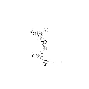 CCOC(=O)Oc1cc(N2CCc3c(nc(OC[C@@H]4CC(c5ccc([C@@H]6Cc7nc(OC[C@@H]8CCCN8C)nc(N8Cc9c(F)ncn9C[C@H]8C)c7CO6)c6c(Cl)cccc56)CN4C)nc3N3Cc4c(F)ncn4C[C@H]3C)C2)c2c(Cl)cccc2c1